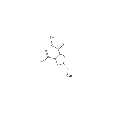 C=C(O)C1CC(COC)CN1C(=O)OC(C)(C)C